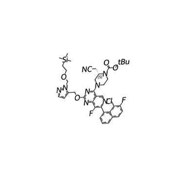 CC(C)(C)OC(=O)N1CCN(c2nc(OCc3ccnn3COCC[Si](C)(C)C)nc3c(F)c(-c4cccc5ccc(F)c(Cl)c45)ncc23)C[C@@H]1CC#N